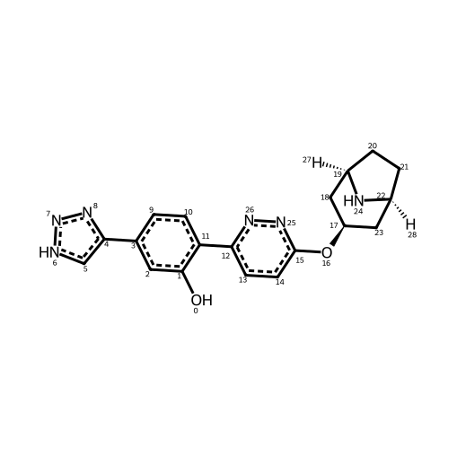 Oc1cc(-c2c[nH]nn2)ccc1-c1ccc(O[C@H]2C[C@H]3CC[C@@H](C2)N3)nn1